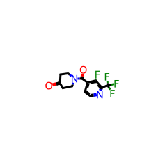 O=C1CCN(C(=O)c2ccnc(C(F)(F)F)c2F)CC1